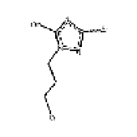 ClCCCn1nc(Br)nc1Br